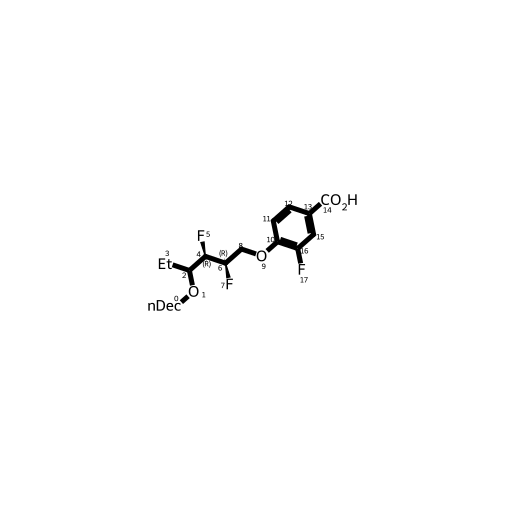 CCCCCCCCCCOC(CC)[C@@H](F)[C@H](F)COc1ccc(C(=O)O)cc1F